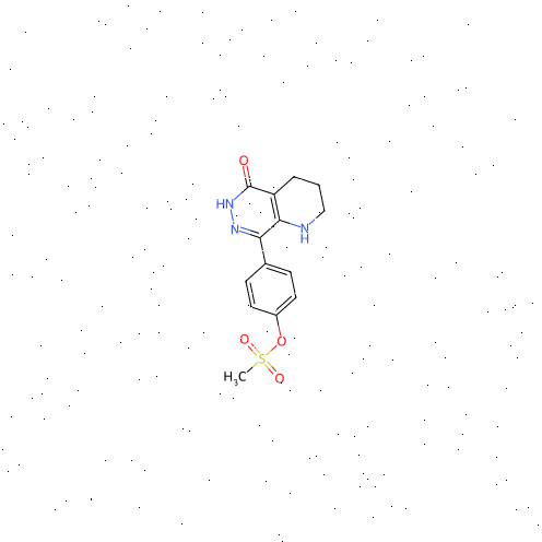 CS(=O)(=O)Oc1ccc(-c2n[nH]c(=O)c3c2NCCC3)cc1